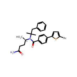 CC(=O)c1ccc(-c2ccc(C(=O)N([C@@H](CCC(N)=O)C(=O)O)C(C)(C)Cc3ccccc3)cc2)s1